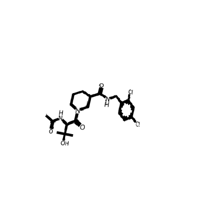 CC(=O)NC(C(=O)N1CCCC(C(=O)NCc2ccc(Cl)cc2Cl)C1)C(C)(C)O